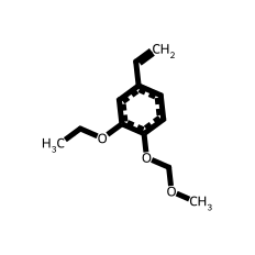 C=Cc1ccc(OCOC)c(OCC)c1